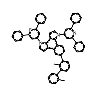 Cc1ccccc1-c1cccc(-c2ccc3c(c2)c2ccn(-c4cc(-c5ccccc5)nc(-c5ccccc5)c4)c2c2ccn(-c4cc(-c5ccccc5)nc(-c5ccccc5)c4)c32)c1C